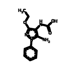 CCOc1nn(-c2ccccc2)c(N)c1NC(=O)O